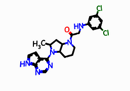 CC1CC2C(CCCN2C(=O)CNc2cc(Cl)cc(Cl)c2)N1c1ncnc2[nH]ccc12